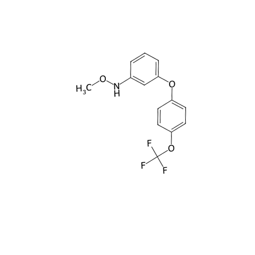 CONc1cccc(Oc2ccc(OC(F)(F)F)cc2)c1